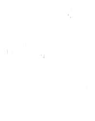 O=P(O)(O)CN(c1ccc2[nH]ccc2c1)S(=O)(=O)c1cc(Cl)cc(Cl)c1